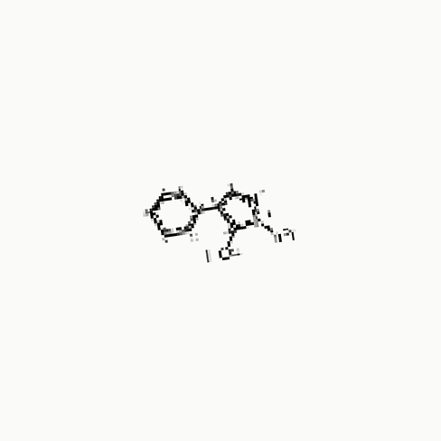 CCCn1ncc(-c2ccccc2)c1O